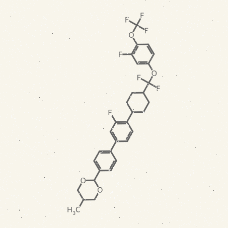 CC1COC(c2ccc(-c3ccc(C4CCC(C(F)(F)Oc5ccc(OC(F)(F)F)c(F)c5)CC4)c(F)c3)cc2)OC1